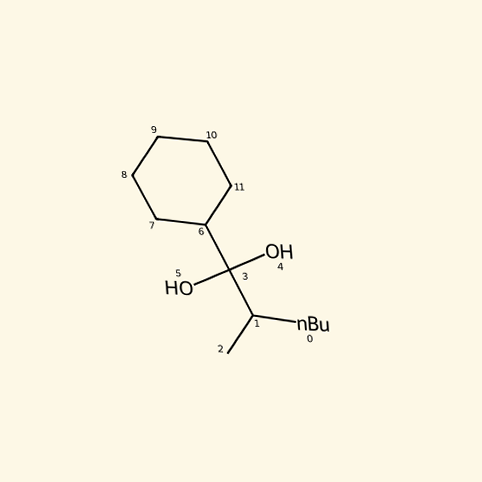 CCCCC(C)C(O)(O)C1CCCCC1